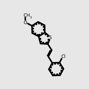 COc1ccc2sc(C=Cc3ccccc3Cl)cc2c1